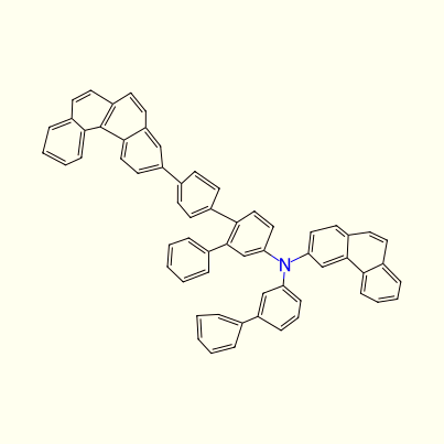 c1ccc(-c2cccc(N(c3ccc(-c4ccc(-c5ccc6c(ccc7ccc8ccccc8c76)c5)cc4)c(-c4ccccc4)c3)c3ccc4ccc5ccccc5c4c3)c2)cc1